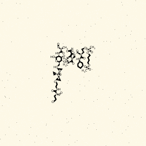 CN(N=O)C(=O)N[C@@H]1[C@@H](O)[C@H](O)[C@@H](CO)O[C@@H]1O.CS(=O)(=O)OCCCCOS(C)(=O)=O.Cn1nnc2c(C(N)=O)ncn2c1=O.O=NN(CCCl)C(=O)NC1CCCCC1.O=NN(CCCl)C(=O)NCCCl.S=P(N1CC1)(N1CC1)N1CC1